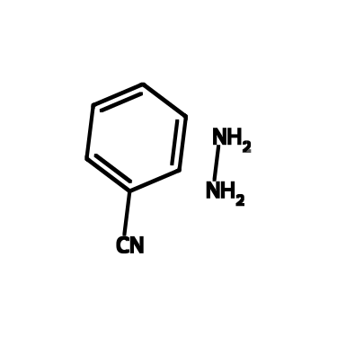 N#Cc1ccccc1.NN